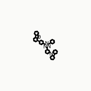 c1ccc(-c2nc(-c3ccc(-c4cccc5c4oc4ccccc45)cc3)nc(-c3cccc(-n4c5ccccc5c5ccccc54)c3)n2)cc1